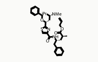 C=CCOC(=O)[C@@H](C)C[C@H](Cc1ccccc1)NC(=O)c1csc([C@@H](C[C@@H](NC)C(C)C)OCc2ccccc2)n1